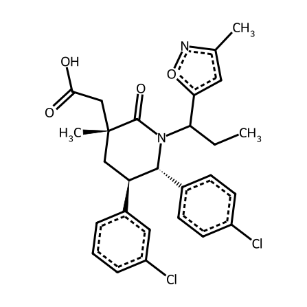 CCC(c1cc(C)no1)N1C(=O)[C@@](C)(CC(=O)O)C[C@H](c2cccc(Cl)c2)[C@H]1c1ccc(Cl)cc1